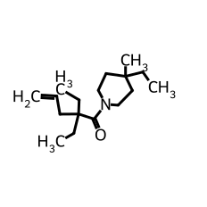 C=CCC(CC)(CC)C(=O)N1CCC(C)(CC)CC1